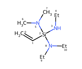 C=C[Si](NCC)(N(C)C)N(CC)CC